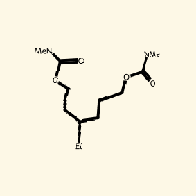 CCC(CCCOC(=O)NC)CCOC(=O)NC